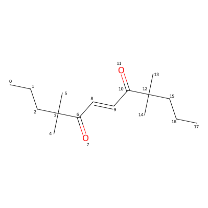 CCCC(C)(C)C(=O)/C=C/C(=O)C(C)(C)CCC